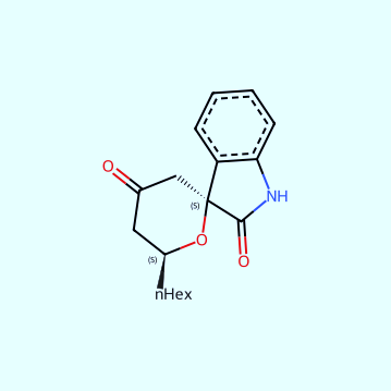 CCCCCC[C@H]1CC(=O)C[C@@]2(O1)C(=O)Nc1ccccc12